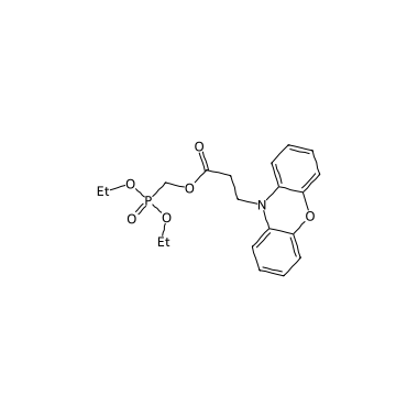 CCOP(=O)(COC(=O)CCN1c2ccccc2Oc2ccccc21)OCC